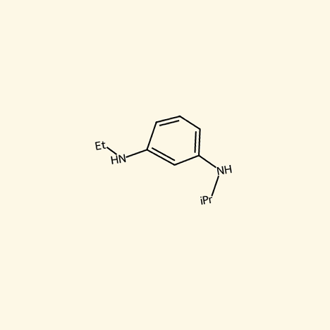 CCNc1cccc(NC(C)C)c1